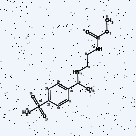 COC(=O)NCCNC(C)c1ccc(S(N)(=O)=O)cc1